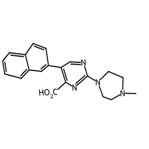 CN1CCN(c2ncc(-c3ccc4ccccc4c3)c(C(=O)O)n2)CC1